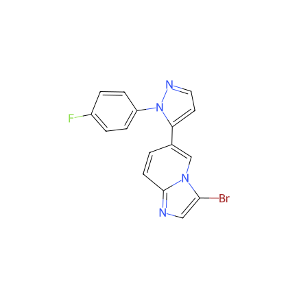 Fc1ccc(-n2nccc2-c2ccc3ncc(Br)n3c2)cc1